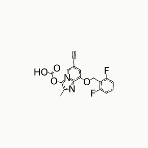 C#Cc1cc(OCc2c(F)cccc2F)c2nc(C)c(OC(=O)O)n2c1